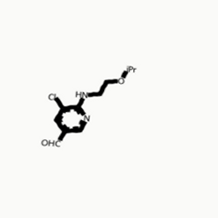 CC(C)OCCNc1ncc(C=O)cc1Cl